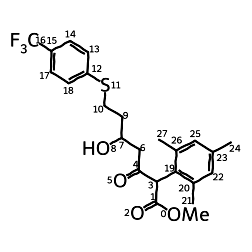 COC(=O)C(C(=O)CC(O)CCSc1ccc(C(F)(F)F)cc1)c1c(C)cc(C)cc1C